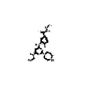 CCONC(=O)c1ccc(C)c(Nc2cc(N(C)CC(C)(C)C)nc(N3CCCNCC3)n2)c1